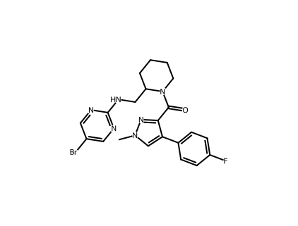 Cn1cc(-c2ccc(F)cc2)c(C(=O)N2CCCCC2CNc2ncc(Br)cn2)n1